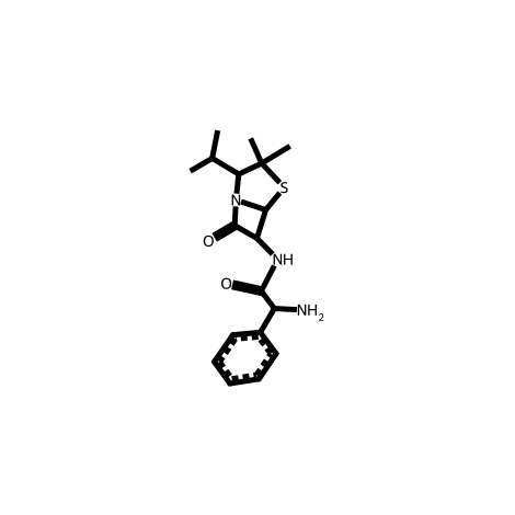 CC(C)C1N2C(=O)C(NC(=O)C(N)c3ccccc3)C2SC1(C)C